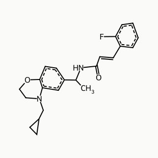 CC(NC(=O)C=Cc1ccccc1F)c1ccc2c(c1)N(CC1CC1)CCO2